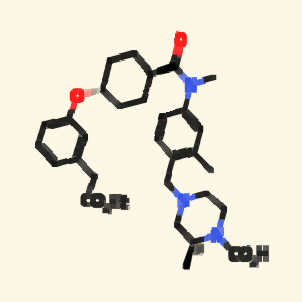 CCOC(=O)Cc1cccc(O[C@H]2CC[C@H](C(=O)N(C)c3ccc(CN4CCN(C(=O)O)[C@@H](C)C4)c(C)c3)CC2)c1